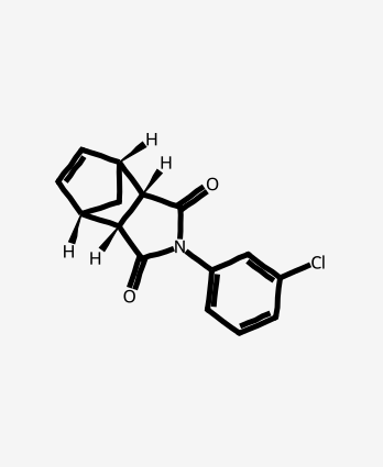 O=C1[C@@H]2[C@H](C(=O)N1c1cccc(Cl)c1)[C@@H]1C=C[C@H]2C1